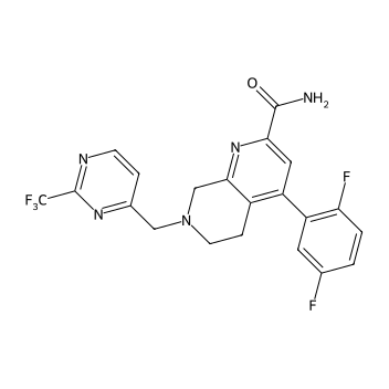 NC(=O)c1cc(-c2cc(F)ccc2F)c2c(n1)CN(Cc1ccnc(C(F)(F)F)n1)CC2